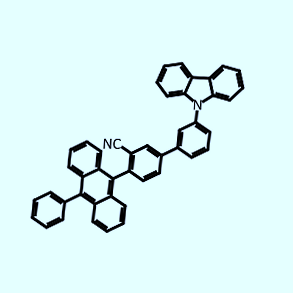 N#Cc1cc(-c2cccc(-n3c4ccccc4c4ccccc43)c2)ccc1-c1c2ccccc2c(-c2ccccc2)c2ccccc12